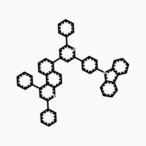 c1ccc(-c2cc(-c3cccc4c3ccc3nc(-c5ccccc5)cc(-c5ccccc5)c34)cc(-c3ccc(-n4c5ccccc5c5ccccc54)cc3)n2)cc1